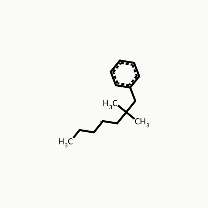 CCC[CH]CC(C)(C)Cc1ccccc1